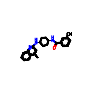 Cc1cc(N[C@H]2CC[C@@H](NC(=O)c3cccc(C#N)c3)CC2)nc2ccccc12